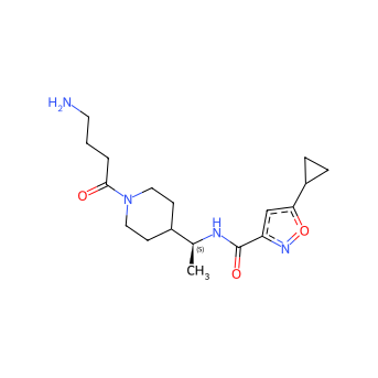 C[C@H](NC(=O)c1cc(C2CC2)on1)C1CCN(C(=O)CCCN)CC1